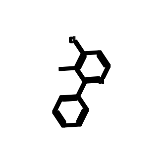 Cc1c(Cl)ccnc1-c1ccccc1